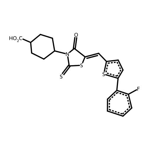 O=C(O)C1CCC(N2C(=O)C(=Cc3ccc(-c4ccccc4F)s3)SC2=S)CC1